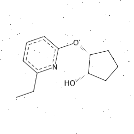 CCc1cccc(O[C@@H]2CCC[C@@H]2O)n1